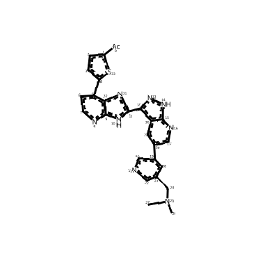 CC(=O)c1ccc(-c2ccnc3[nH]c(-c4n[nH]c5ncc(-c6cncc(CN(C)C)c6)cc45)nc23)s1